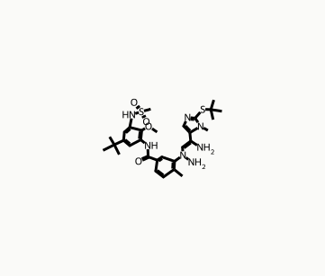 COc1c(NC(=O)c2ccc(C)c(N(N)/C=C(\N)c3cnc(SC(C)(C)C)n3C)c2)cc(C(C)(C)C)cc1NS(C)(=O)=O